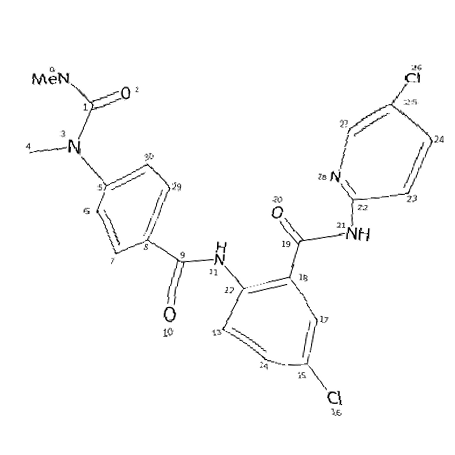 CNC(=O)N(C)c1ccc(C(=O)Nc2ccc(Cl)cc2C(=O)Nc2ccc(Cl)cn2)cc1